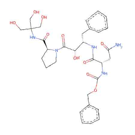 NC(=O)C[C@H](NC(=O)OCc1ccccc1)C(=O)N[C@@H](Cc1ccccc1)[C@H](O)C(=O)N1CCC[C@H]1C(=O)NC(CO)(CO)CO